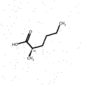 CCCC[C@@H](C)C(=O)O